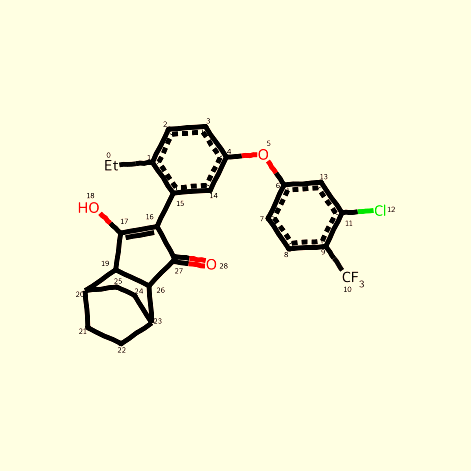 CCc1ccc(Oc2ccc(C(F)(F)F)c(Cl)c2)cc1C1=C(O)C2C3CCC(CC3)C2C1=O